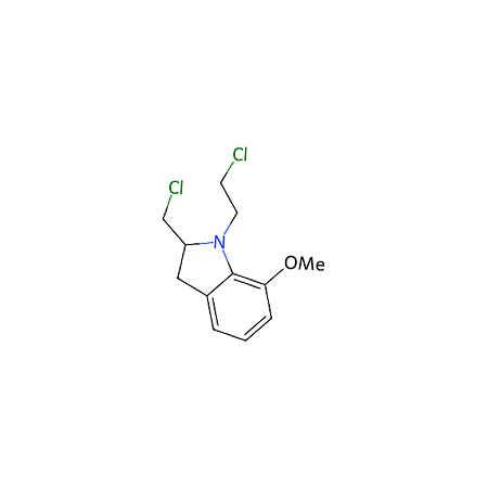 COc1cccc2c1N(CCCl)C(CCl)C2